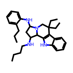 CCCCNC1CC(Nc2ccccc2CCC)N2CC(CC)(CC)c3c([nH]c4ccccc34)C12